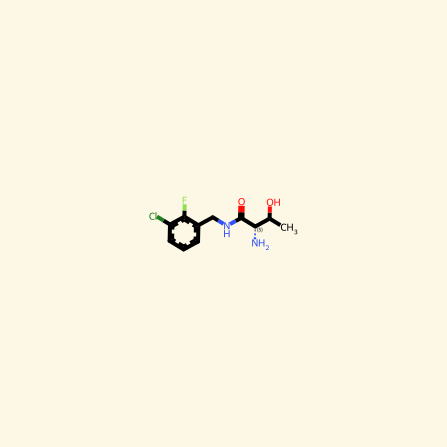 CC(O)[C@H](N)C(=O)NCc1cccc(Cl)c1F